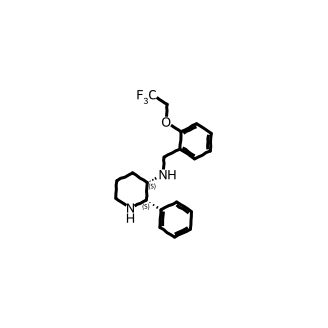 FC(F)(F)COc1ccccc1CN[C@H]1CCCN[C@H]1c1ccccc1